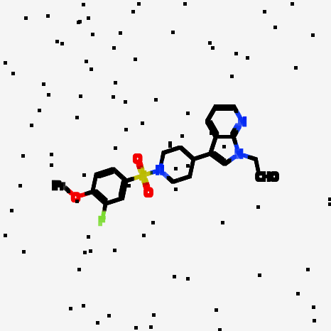 CC(C)Oc1ccc(S(=O)(=O)N2CCC(c3cn(CC=O)c4ncccc34)CC2)cc1F